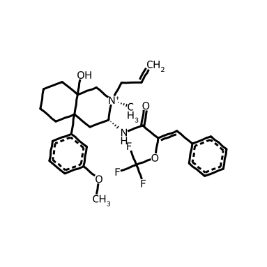 C=CC[N@+]1(C)CC2(O)CCCCC2(c2cccc(OC)c2)C[C@H]1NC(=O)C(=Cc1ccccc1)OC(F)(F)F